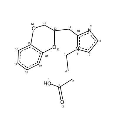 CC(=O)O.CCn1ccnc1CC1COc2ccccc2O1